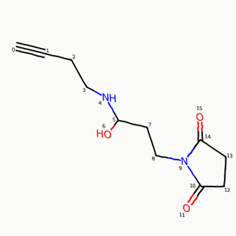 C#CCCNC(O)CCN1C(=O)CCC1=O